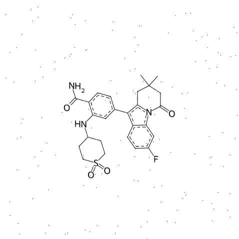 CC1(C)CC(=O)n2c(c(-c3ccc(C(N)=O)c(NC4CCS(=O)(=O)CC4)c3)c3ccc(F)cc32)C1